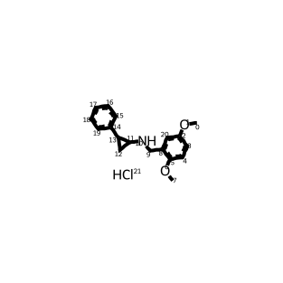 COc1ccc(OC)c(CNC2CC2c2ccccc2)c1.Cl